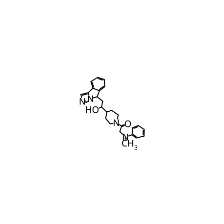 CN(CC(=O)N1CCC(C(O)CC2c3ccccc3-c3cncn32)CC1)c1ccccc1